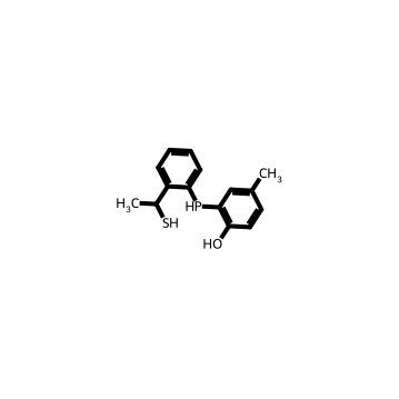 Cc1ccc(O)c(Pc2ccccc2C(C)S)c1